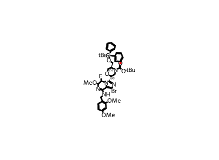 COc1ccc(CNC2=NC(OC)C(F)n3c([C@H]4CN(C(=O)OC(C)(C)C)[C@H](CO[Si](c5ccccc5)(c5ccccc5)C(C)(C)C)CO4)nc(Br)c32)c(OC)c1